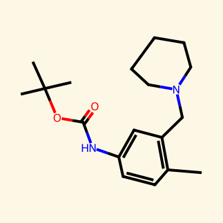 Cc1ccc(NC(=O)OC(C)(C)C)cc1CN1CCCCC1